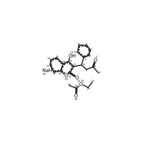 CC(=O)CC(c1ccccc1)c1c(O)c2ccccc2oc1=O.CCOC(C)=O.[NaH]